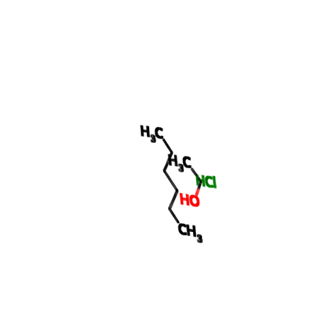 CCCCCC.CCO.Cl